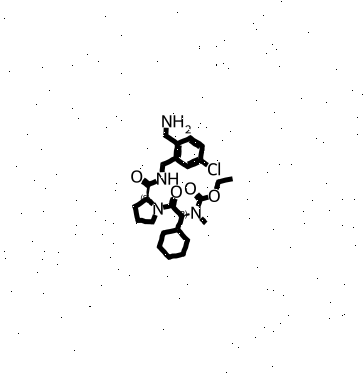 CCOC(=O)N(C)[C@@H](C(=O)N1CCC[C@H]1C(=O)NCc1cc(Cl)ccc1CN)C1CCCCC1